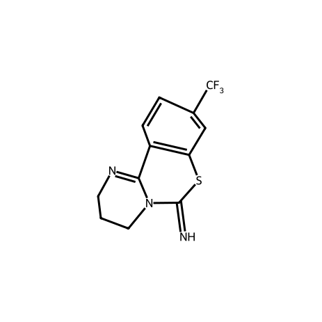 N=C1Sc2cc(C(F)(F)F)ccc2C2=NCCCN12